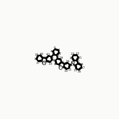 c1ccc(-c2ccc3oc4ccc(-n5c6ccccc6c6ccccc65)cc4c3c2)c(-c2ccc3oc4ccccc4c3c2)c1